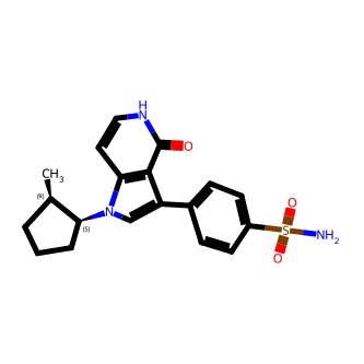 C[C@@H]1CCC[C@@H]1n1cc(-c2ccc(S(N)(=O)=O)cc2)c2c(=O)[nH]ccc21